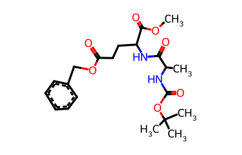 COC(=O)C(CCC(=O)OCc1ccccc1)NC(=O)C(C)NC(=O)OC(C)(C)C